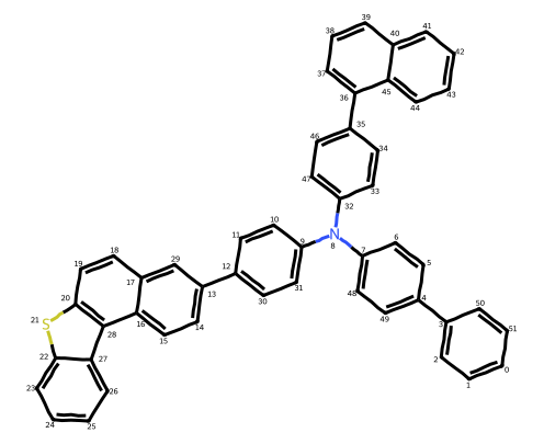 c1ccc(-c2ccc(N(c3ccc(-c4ccc5c(ccc6sc7ccccc7c65)c4)cc3)c3ccc(-c4cccc5ccccc45)cc3)cc2)cc1